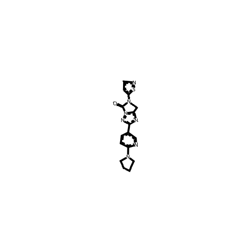 O=C1N(c2ccns2)Cc2nc(-c3ccc(N4CCCC4)nc3)nn21